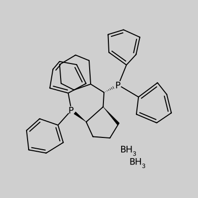 B.B.c1ccc(P(c2ccccc2)[C@@H]2CCC[C@@H]2[C@H](C2CCCCC2)P(c2ccccc2)c2ccccc2)cc1